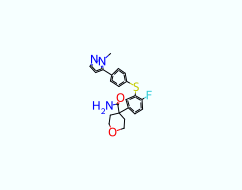 Cn1nccc1-c1ccc(Sc2cc(C3(C(N)=O)CCOCC3)ccc2F)cc1